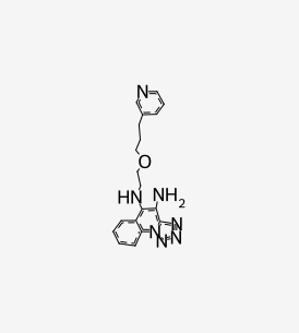 Nc1c(NCCOCCCc2cccnc2)c2ccccc2n2nnnc12